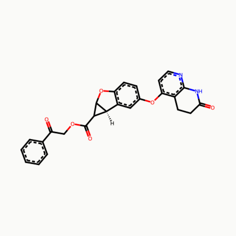 O=C1CCc2c(Oc3ccc4c(c3)[C@@H]3C(O4)C3C(=O)OCC(=O)c3ccccc3)ccnc2N1